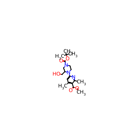 COC(=O)c1c(C)cc(N2CCN(C(=O)OC(C)(C)C)CC2CO)nc1C